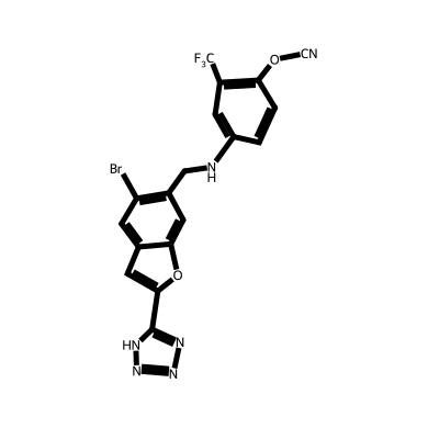 N#COc1ccc(NCc2cc3oc(-c4nnn[nH]4)cc3cc2Br)cc1C(F)(F)F